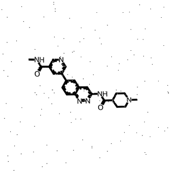 CNC(=O)c1cncc(-c2ccc3nnc(NC(=O)C4CCN(C)CC4)cc3c2)c1